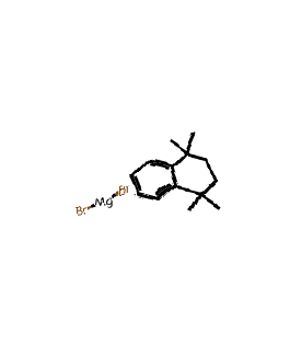 CC1(C)CCC(C)(C)c2cc[c]cc21.[Br][Mg][Br]